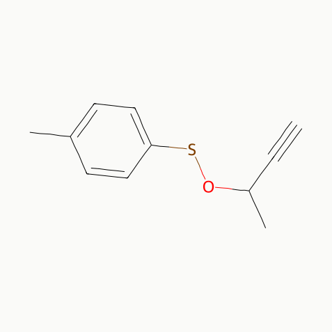 C#CC(C)OSc1ccc(C)cc1